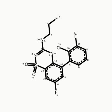 O=S1(=O)N=C(NCCF)Nc2c(-c3cccc(F)c3Cl)cc(F)cc21